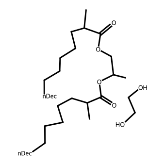 CCCCCCCCCCCCCCCC(C)C(=O)OCC(C)OC(=O)C(C)CCCCCCCCCCCCCCC.OCCO